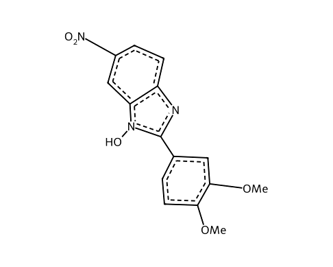 COc1ccc(-c2nc3ccc([N+](=O)[O-])cc3n2O)cc1OC